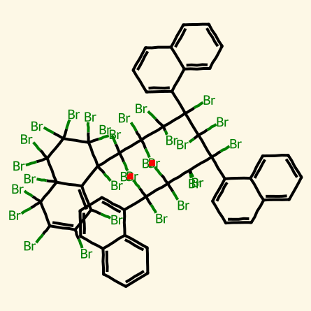 BrC1=C(Br)C(Br)(Br)C2(Br)C(=C1Br)C(Br)(C(Br)(Br)C(Br)(Br)C(Br)(Br)C(Br)(c1cccc3ccccc13)C(Br)(Br)C(Br)(c1cccc3ccccc13)C(Br)(Br)C(Br)(Br)C(Br)(Br)c1cccc3ccccc13)C(Br)(Br)C(Br)(Br)C2(Br)Br